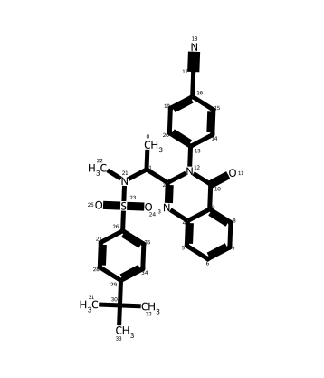 CC(c1nc2ccccc2c(=O)n1-c1ccc(C#N)cc1)N(C)S(=O)(=O)c1ccc(C(C)(C)C)cc1